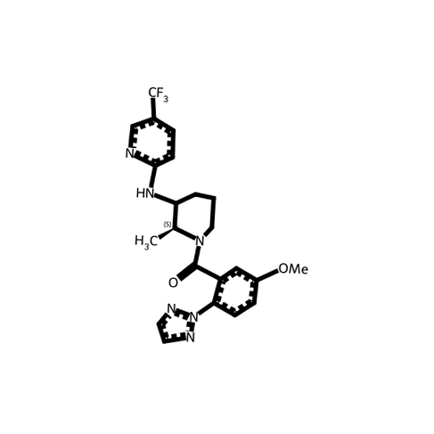 COc1ccc(-n2nccn2)c(C(=O)N2CCCC(Nc3ccc(C(F)(F)F)cn3)[C@@H]2C)c1